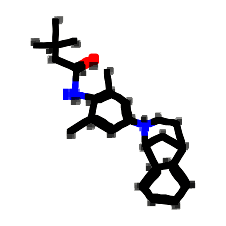 Cc1cc(N2CCC3CC2c2ccccc23)cc(C)c1NC(=O)CC(C)(C)C